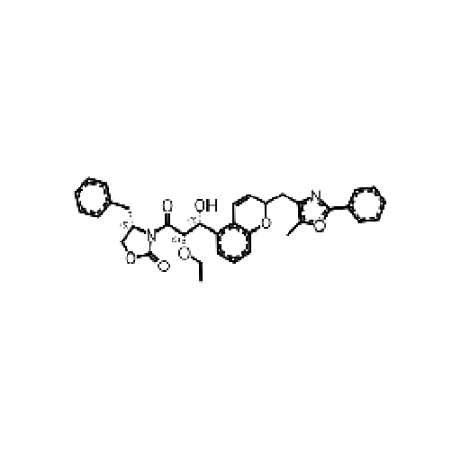 CCO[C@H](C(=O)N1C(=O)OC[C@@H]1Cc1ccccc1)[C@H](O)c1cccc2c1C=CC(Cc1nc(-c3ccccc3)oc1C)O2